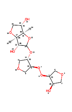 O[C@@H]1COC[C@@H]1OO[C@H]1COC[C@@H]1OC1O[C@H]2[C@H](OC[C@@H]2O)[C@H]1O